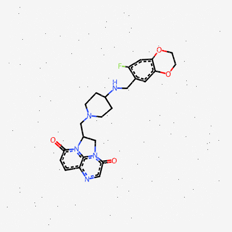 O=c1cnc2ccc(=O)n3c2n1CC3CN1CCC(NCc2cc3c(cc2F)OCCO3)CC1